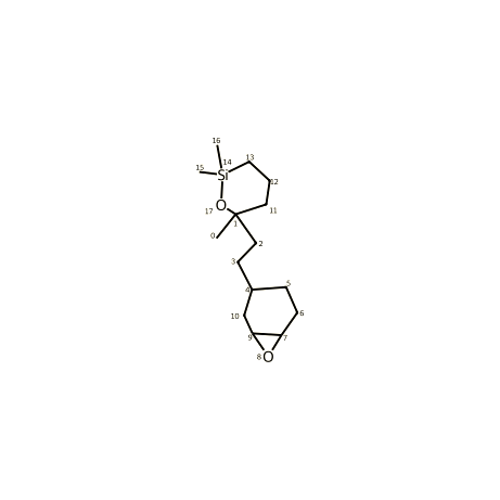 CC1(CCC2CCC3OC3C2)CCC[Si](C)(C)O1